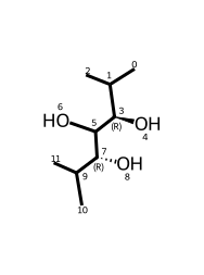 CC(C)[C@@H](O)C(O)[C@H](O)C(C)C